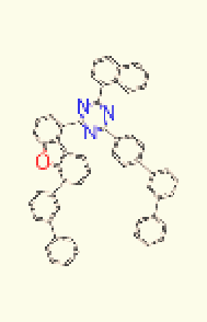 c1ccc(-c2cccc(-c3ccc(-c4nc(-c5cccc6ccccc56)nc(-c5cccc6oc7c(-c8cccc(-c9ccccc9)c8)cccc7c56)n4)cc3)c2)cc1